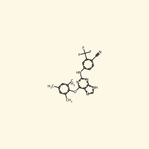 Cc1cc(C)c(Oc2nc(Nc3ccc(C#N)c(C(F)(F)F)c3)nc3[nH]cnc23)c(C)c1